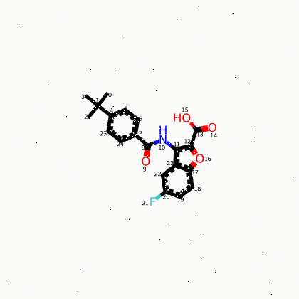 CC(C)(C)c1ccc(C(=O)Nc2c(C(=O)O)oc3ccc(F)cc23)cc1